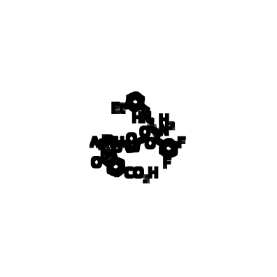 CC(C)CN1C(=O)c2ccc(C(=O)O)cc2C1=O.CCc1cccc(CNC[C@@H](OC(=O)c2ccc(NC(C)=O)o2)[C@@H](N)Cc2cc(F)cc(F)c2)c1